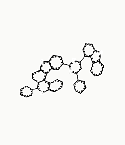 c1ccc(-c2cc(-c3cccc4oc5ccccc5c34)nc(-c3ccc4sc5ccc6c(-c7ccccc7)nc7ccccc7c6c5c4c3)n2)cc1